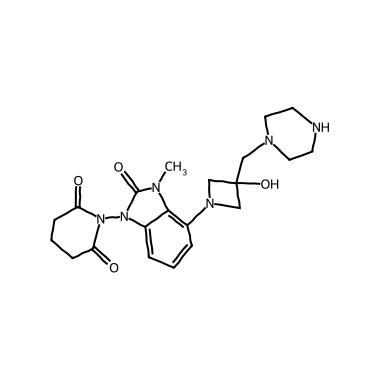 Cn1c(=O)n(N2C(=O)CCCC2=O)c2cccc(N3CC(O)(CN4CCNCC4)C3)c21